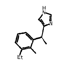 CCc1cccc([C@H](C)c2c[nH]cn2)c1C